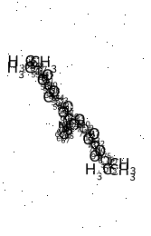 CC(C)(C)C1CCC(C(=O)Oc2ccc(OC(=O)C3CCC(C(=O)Oc4ccc(OC(=O)[C@H]5CC[C@H](C(=O)Oc6ccc(OC(=O)C7CCC(C(C)(C)C)CC7)cc6)CC5)cc4-c4nc5ccccc5s4)CC3)cc2)CC1